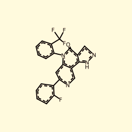 O=c1c2cn[nH]c2c2cnc(-c3ccccc3F)cc2n1-c1ccccc1C(F)(F)F